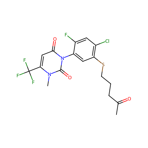 CC(=O)CCCSc1cc(-n2c(=O)cc(C(F)(F)F)n(C)c2=O)c(F)cc1Cl